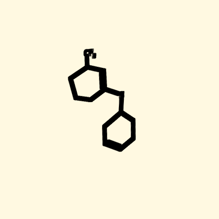 FC(F)(F)C1C=C(SC2CC=CCC2)CCC1